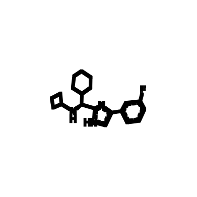 Fc1cccc(-c2c[nH]c([C@@H](NC3CCC3)C3CCCCC3)n2)c1